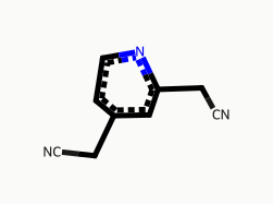 N#CCc1ccnc(CC#N)c1